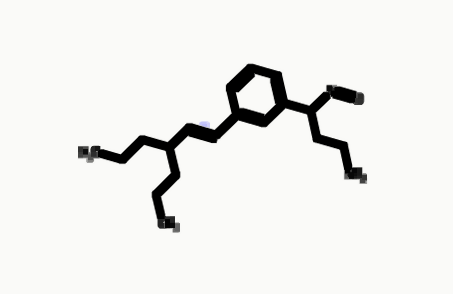 CCCC(/C=C/c1cccc(C(CCN)N=O)c1)CCC